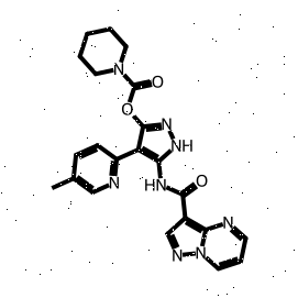 Cc1ccc(-c2c(OC(=O)N3CCCCC3)n[nH]c2NC(=O)c2cnn3cccnc23)nc1